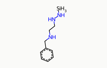 [SiH3]NNCCNCc1ccccc1